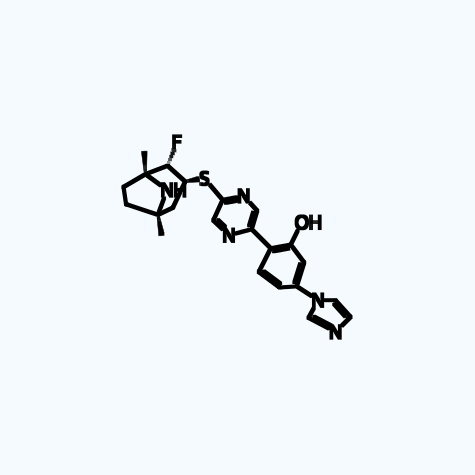 C[C@@]12CC[C@@](C)(N1)[C@H](F)[C@@H](Sc1cnc(-c3ccc(-n4ccnc4)cc3O)cn1)C2